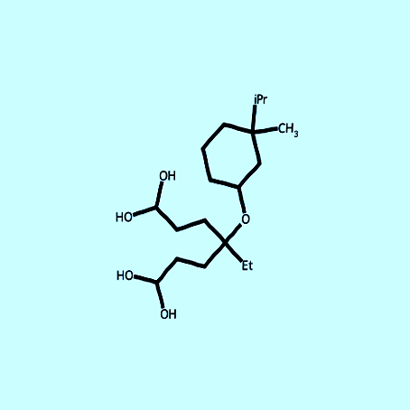 CCC(CCC(O)O)(CCC(O)O)OC1CCCC(C)(C(C)C)C1